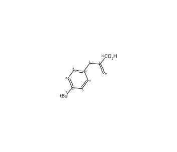 C=C(Cc1ccc(C(C)(C)C)cc1)C(=O)O